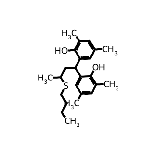 CCCCSC(C)CC(c1cc(C)cc(C)c1O)c1cc(C)cc(C)c1O